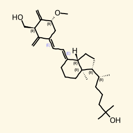 C=C1/C(=C/C=C2\CCC[C@]3(C)[C@@H]([C@H](C)CCCC(C)(C)O)CC[C@@H]23)C[C@@H](OC)C(=C)[C@@H]1CO